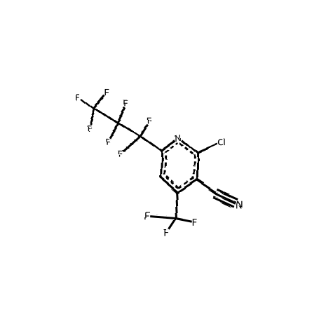 N#Cc1c(C(F)(F)F)cc(C(F)(F)C(F)(F)C(F)(F)F)nc1Cl